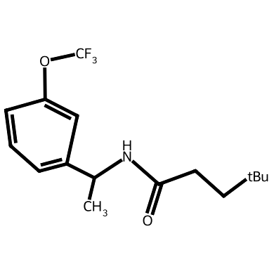 CC(NC(=O)CCC(C)(C)C)c1cccc(OC(F)(F)F)c1